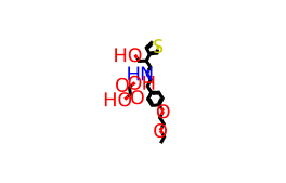 CCOCCOc1ccc(CCNCC(CO)c2ccsc2)cc1.O=C(O)C(=O)O